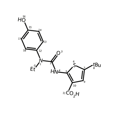 CCN(C(=O)Nc1sc(C(C)(C)C)cc1C(=O)O)c1ccc(O)cc1